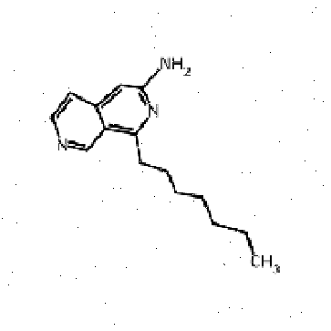 CCCCCCCc1nc(N)cc2ccncc12